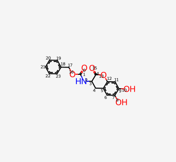 O=C(NC1Cc2cc(O)c(O)cc2OC1=O)OCc1ccccc1